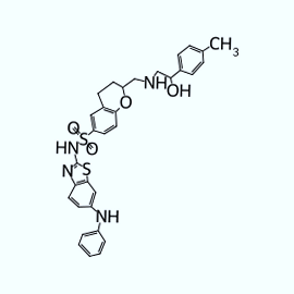 Cc1ccc(C(O)CNCC2CCc3cc(S(=O)(=O)Nc4nc5ccc(Nc6ccccc6)cc5s4)ccc3O2)cc1